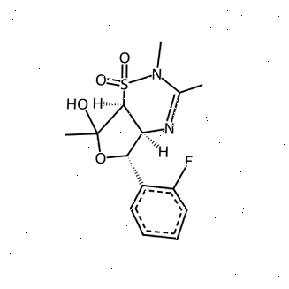 CC1=N[C@H]2[C@H](c3ccccc3F)OC(C)(O)[C@H]2S(=O)(=O)N1C